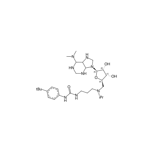 CC(C)N(CCCNC(=O)Nc1ccc(C(C)(C)C)cc1)C[C@H]1O[C@@H](N2CNC3C(N(C)C)NCNC32)[C@H](O)[C@@H]1O